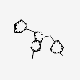 Cc1cc2c(o1)c(-c1ccccc1)nn2Cc1ccc(Cl)cc1